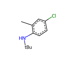 Cc1cc(Cl)ccc1NC(C)(C)C